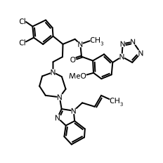 CC=CCn1c(N2CCCN(CCC(CN(C)C(=O)c3cc(-n4cnnn4)ccc3OC)c3ccc(Cl)c(Cl)c3)CC2)nc2ccccc21